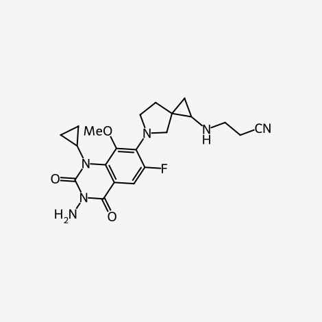 COc1c(N2CCC3(CC3NCCC#N)C2)c(F)cc2c(=O)n(N)c(=O)n(C3CC3)c12